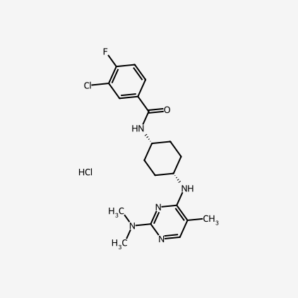 Cc1cnc(N(C)C)nc1N[C@H]1CC[C@@H](NC(=O)c2ccc(F)c(Cl)c2)CC1.Cl